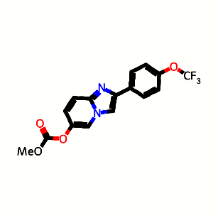 COC(=O)Oc1ccc2nc(-c3ccc(OC(F)(F)F)cc3)cn2c1